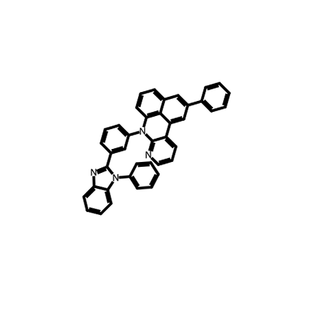 c1ccc(-c2cc3c4c(cccc4c2)N(c2cccc(-c4nc5ccccc5n4-c4ccccc4)c2)c2ncccc2-3)cc1